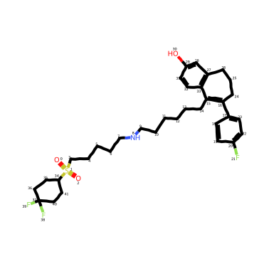 O=S(=O)(CCCCCNCCCCCCC1=C(c2ccc(F)cc2)CCCc2cc(O)ccc21)C1CCC(F)(F)CC1